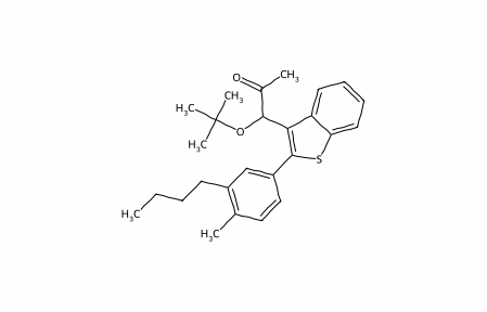 CCCCc1cc(-c2sc3ccccc3c2C(OC(C)(C)C)C(C)=O)ccc1C